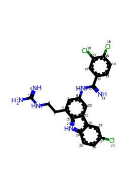 N=C(N)NCCc1cc(NC(=N)c2ccc(Cl)c(Cl)c2)cc2c1[nH]c1ccc(Cl)cc12